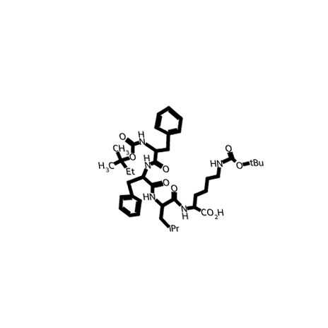 CCC(C)(C)OC(=O)NC(Cc1ccccc1)C(=O)NC(Cc1ccccc1)C(=O)NC(CC(C)C)C(=O)NC(CCCCNC(=O)OC(C)(C)C)C(=O)O